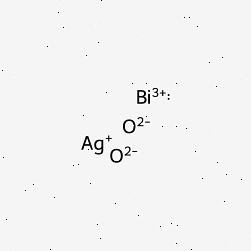 [Ag+].[Bi+3].[O-2].[O-2]